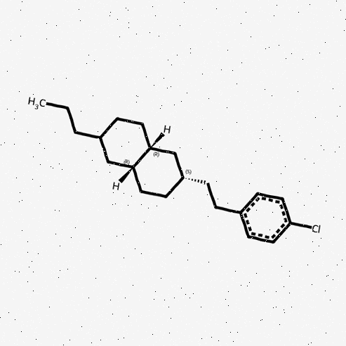 CCCC1CC[C@@H]2C[C@H](CCc3ccc(Cl)cc3)CC[C@@H]2C1